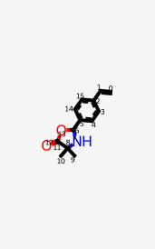 C=Cc1ccc(C2NC(C)(C)C(=O)O2)cc1